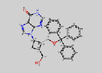 O=C1NC=NC2C1N=CN2[C@@H]1C[C@H](CO)[C@H]1COC(c1ccccc1)(c1ccccc1)c1ccccc1